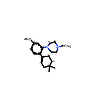 CCCCCN1CCN(c2cc(OC)ccc2C2=CCC(C)(C)CC2)CC1